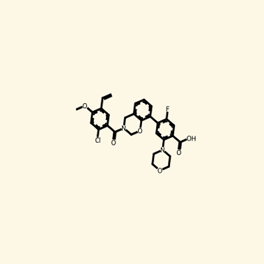 C=Cc1cc(C(=O)N2COc3c(cccc3-c3cc(N4CCOCC4)c(C(=O)O)cc3F)C2)c(Cl)cc1OC